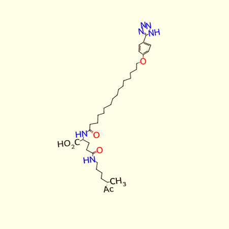 CC(=O)[C@@H](C)CCCCNC(=O)CCC(NC(=O)CCCCCCCCCCCCCCCOc1ccc(-c2nnn[nH]2)cc1)C(=O)O